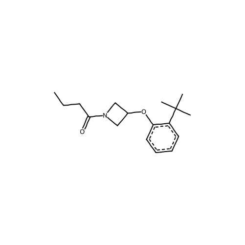 CCCC(=O)N1CC(Oc2ccccc2C(C)(C)C)C1